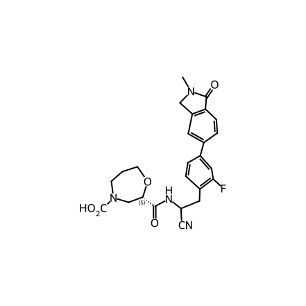 CN1Cc2cc(-c3ccc(CC(C#N)NC(=O)[C@@H]4CN(C(=O)O)CCCO4)c(F)c3)ccc2C1=O